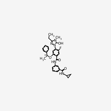 CCC1=NN(c2cc(O[C@@H](C)c3ccccc3)c(C(=O)Nc3cccc(C(=O)NC4CC4)c3)cc2F)C(O)N1C